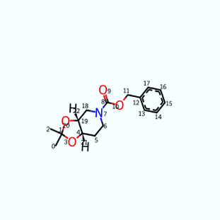 CC1(C)O[C@H]2CCN(C(=O)OCc3ccccc3)C[C@H]2O1